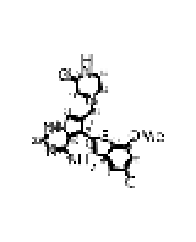 COc1cc(Cl)cc2cc(-c3c(CN4CCNC(=O)C4)cn4ncnc(N)c34)sc12